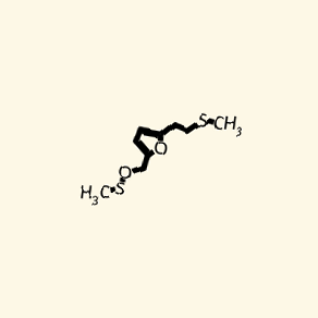 CSCCc1ccc(COSC)o1